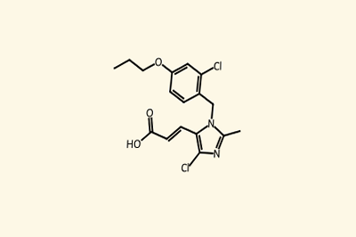 CCCOc1ccc(Cn2c(C)nc(Cl)c2/C=C/C(=O)O)c(Cl)c1